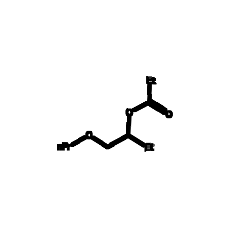 [CH2]CCOCC(CC)OC(=O)CC